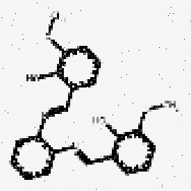 COc1cccc(C=Nc2ccccc2N=Cc2cccc(OC)c2O)c1O